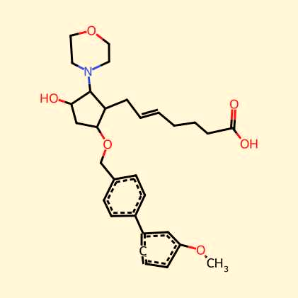 COc1cccc(-c2ccc(COC3CC(O)C(N4CCOCC4)C3CC=CCCCC(=O)O)cc2)c1